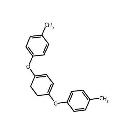 Cc1ccc(OC2=CC=C(Oc3ccc(C)cc3)CC2)cc1